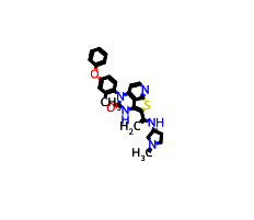 C=C(N[C@@H]1CCN(C)C1)c1sc2nccc3c2c1NC(=O)N3c1ccc(Oc2ccccc2)cc1C